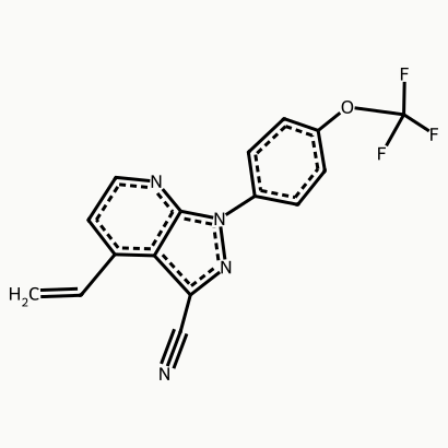 C=Cc1ccnc2c1c(C#N)nn2-c1ccc(OC(F)(F)F)cc1